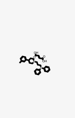 Cc1cccc(C2CCN(CCCN(c3ccccc3)c3ccccc3)CC2)c1.O=C(O)/C=C/C(=O)O